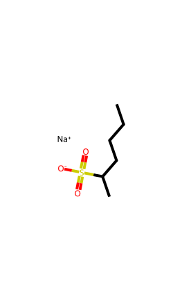 CCCCC(C)S(=O)(=O)[O-].[Na+]